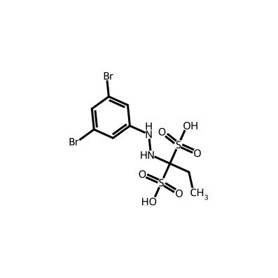 CCC(NNc1cc(Br)cc(Br)c1)(S(=O)(=O)O)S(=O)(=O)O